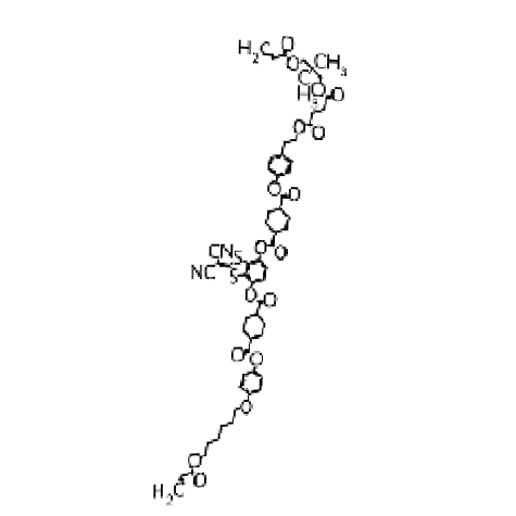 C=CC(=O)OCCCCCCOc1ccc(OC(=O)C2CCC(C(=O)Oc3ccc(OC(=O)C4CCC(C(=O)Oc5ccc(CCOC(=O)CCC(=O)OCC(C)(C)COC(=O)C=C)cc5)CC4)c4c3SC(=C(C#N)C#N)S4)CC2)cc1